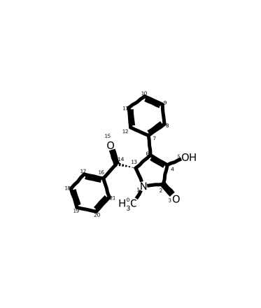 CN1C(=O)C(O)=C(c2ccccc2)[C@H]1C(=O)c1ccccc1